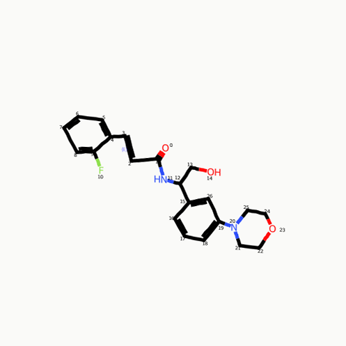 O=C(/C=C/c1ccccc1F)NC(CO)c1cccc(N2CCOCC2)c1